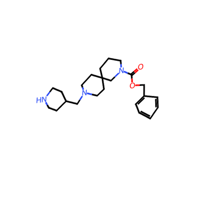 O=C(OCc1ccccc1)N1CCCC2(CCN(CC3CCNCC3)CC2)C1